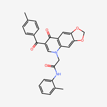 Cc1ccc(C(=O)c2cn(CC(=O)Nc3ccccc3C)c3cc4c(cc3c2=O)OCO4)cc1